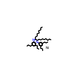 CCCCCCCCC(=Nc1cc(CCC)cc(CCC)c1)C(CCCCCCCC)=Nc1cc(CCC)cc(CCC)c1.[Ni]